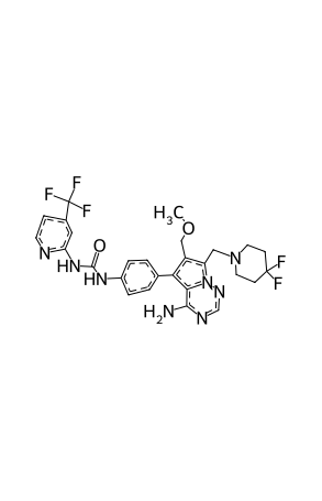 COCc1c(-c2ccc(NC(=O)Nc3cc(C(F)(F)F)ccn3)cc2)c2c(N)ncnn2c1CN1CCC(F)(F)CC1